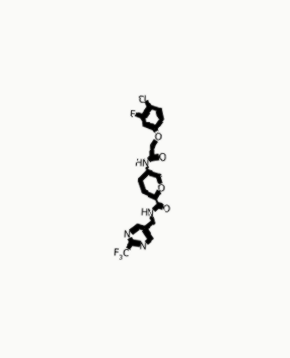 O=C(COc1ccc(Cl)c(F)c1)N[C@@H]1CC[C@H](C(=O)NCc2cnc(C(F)(F)F)nc2)OC1